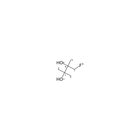 CC(C)(O)C(C)(O)CF